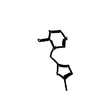 Cc1ccc(Cn2cncnc2=O)s1